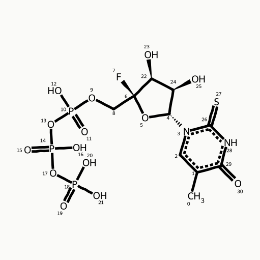 Cc1cn([C@@H]2O[C@](F)(COP(=O)(O)OP(=O)(O)OP(=O)(O)O)[C@@H](O)[C@H]2O)c(=S)[nH]c1=O